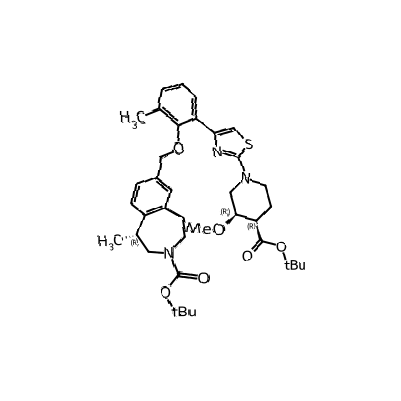 CO[C@H]1CN(c2nc(-c3cccc(C)c3OCc3ccc4c(c3)CCN(C(=O)OC(C)(C)C)C[C@@H]4C)cs2)CC[C@H]1C(=O)OC(C)(C)C